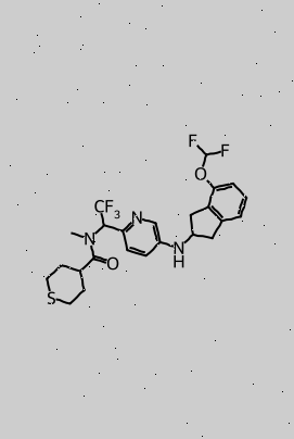 CN(C(=O)C1CCSCC1)C(c1ccc(NC2Cc3cccc(OC(F)F)c3C2)cn1)C(F)(F)F